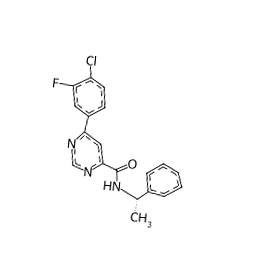 C[C@H](NC(=O)c1cc(-c2ccc(Cl)c(F)c2)ncn1)c1ccccc1